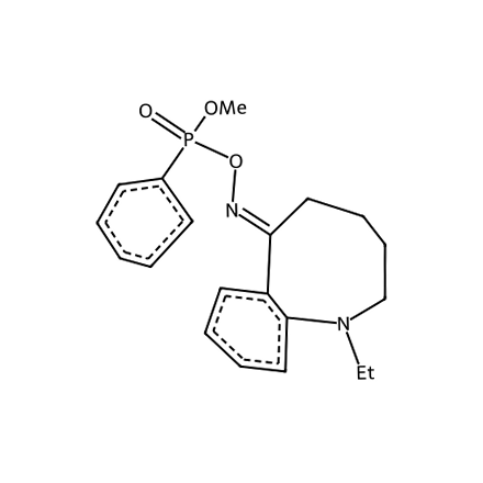 CCN1CCCC/C(=N\OP(=O)(OC)c2ccccc2)c2ccccc21